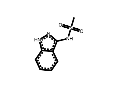 CS(=O)(=O)Nc1n[nH]c2ccccc12